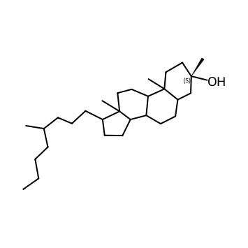 CCCCC(C)CCCC1CCC2C3CCC4C[C@@](C)(O)CCC4(C)C3CCC12C